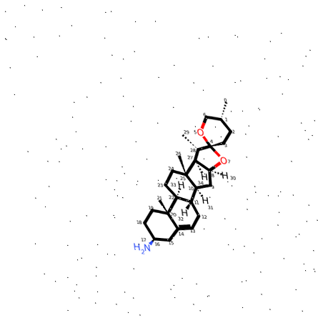 C[C@@H]1CC[C@@]2(OC1)O[C@H]1C[C@H]3[C@@H]4CC=C5C[C@@H](N)CC[C@]5(C)[C@H]4CC[C@]3(C)[C@H]1[C@@H]2C